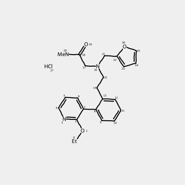 CCOc1ncccc1-c1ccccc1CCN(CC(=O)NC)Cc1ccco1.Cl